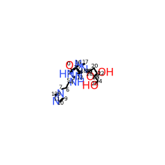 O=c1[nH]c(NCCCn2ccnc2)nc2c1ncn2[C@H]1CC(O)[C@@H](CO)O1